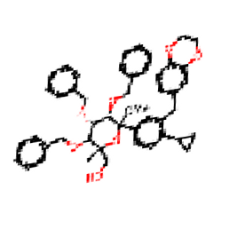 CO[C@@]1(c2ccc(C3CC3)c(Cc3ccc4c(c3)OCCO4)c2)O[C@](C)(CO)[C@@H](OCc2ccccc2)[C@H](OCc2ccccc2)[C@H]1OCc1ccccc1